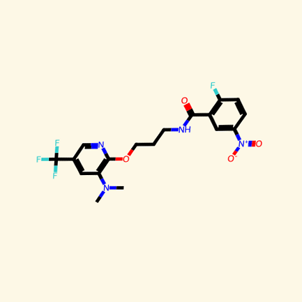 CN(C)c1cc(C(F)(F)F)cnc1OCCCNC(=O)c1cc([N+](=O)[O-])ccc1F